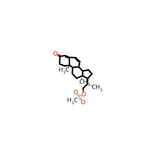 C[C@H](COS(C)(=O)=O)C1CCC2C3C=CC4=CC(=O)CC[C@]4(C)C3CC[C@@]21C